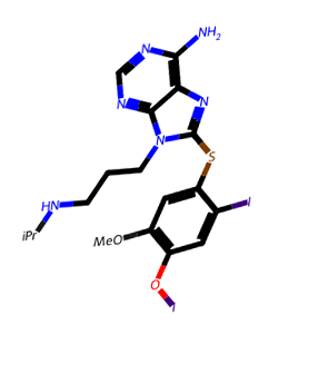 COc1cc(Sc2nc3c(N)ncnc3n2CCCNC(C)C)c(I)cc1OI